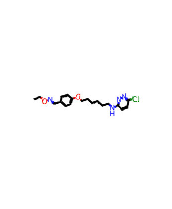 CCON=Cc1ccc(OCCCCCCNc2ccc(Cl)nn2)cc1